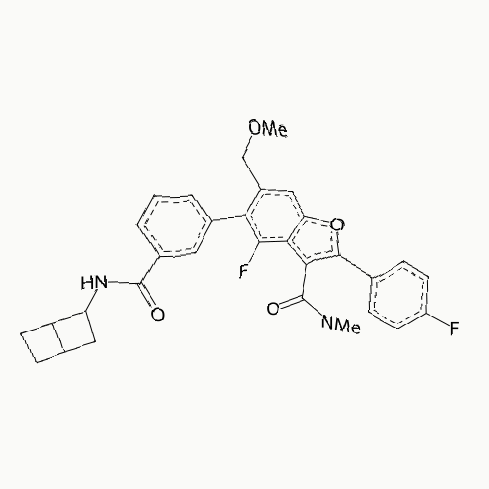 CNC(=O)c1c(-c2ccc(F)cc2)oc2cc(COC)c(-c3cccc(C(=O)NC4CC5CCC54)c3)c(F)c12